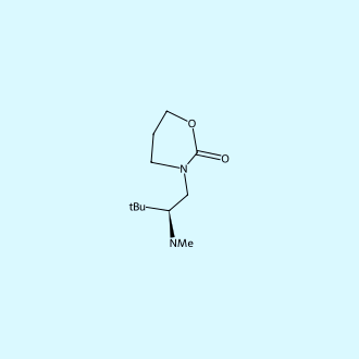 CN[C@H](CN1CCCOC1=O)C(C)(C)C